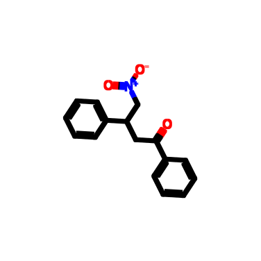 O=C(CC(C[N+](=O)[O-])c1ccccc1)c1ccccc1